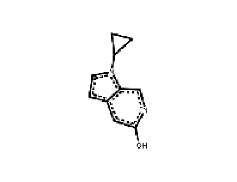 Oc1cc2ccn(C3CC3)c2cn1